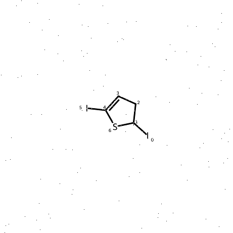 I[C]1CC=C(I)S1